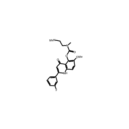 CNCCN(C)C(=O)Oc1c(OC)ccc2[nH]c(-c3cccc(F)c3)cc(=O)c12